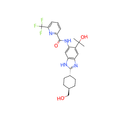 CC(C)(O)c1cc2nc([C@H]3CC[C@H](CO)CC3)[nH]c2cc1NC(=O)c1cccc(C(F)(F)F)n1